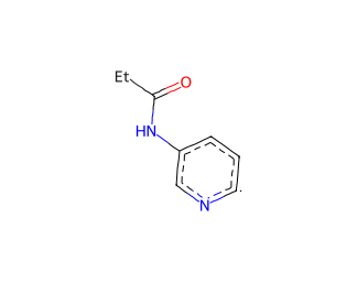 CCC(=O)Nc1cc[c]nc1